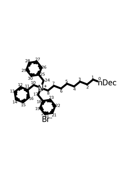 CCCCCCCCCCCCCCCCCC[N+](Cc1ccccc1)(Cc1ccccc1)Cc1ccccc1.[Br-]